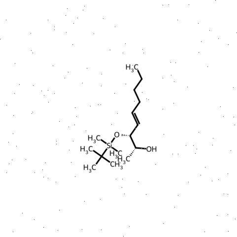 CCCCC=C[C@@H](O[Si](C)(C)C(C)(C)C)[C@@H](C)O